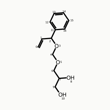 C=CC(OCOCC(O)CO)c1ccccc1